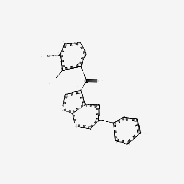 O=C(c1cccc(O)c1F)c1c[nH]c2ncc(-c3ccccc3)cc12